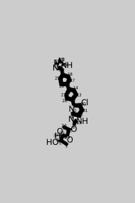 O[C@@H]1COC2[C@H](Oc3nc4nc(-c5ccc(-c6ccc(-c7nnn[nH]7)cc6)cc5)c(Cl)cc4[nH]3)CO[C@@H]21